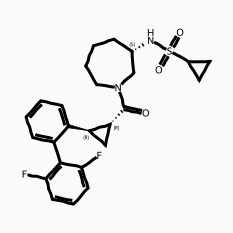 O=C([C@@H]1C[C@H]1c1ccccc1-c1c(F)cccc1F)N1CCCC[C@H](NS(=O)(=O)C2CC2)C1